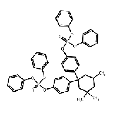 CC1CC(C)(C)CC(c2ccc(OP(=O)(Oc3ccccc3)Oc3ccccc3)cc2)(c2ccc(OP(=O)(Oc3ccccc3)Oc3ccccc3)cc2)C1